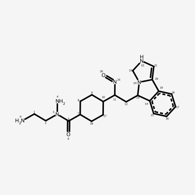 NCCN(N)C(=O)C1CCC(C(CC2c3ccccc3C3=CNCN32)N=O)CC1